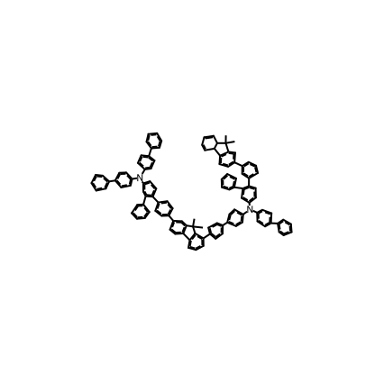 CC1(C)c2cc(-c3ccc(-c4ccc(N(c5ccc(-c6ccccc6)cc5)c5ccc(-c6ccccc6)cc5)cc4-c4ccccc4)cc3)ccc2-c2cccc(-c3ccc(-c4ccc(N(c5ccc(-c6ccccc6)cc5)c5ccc(-c6cccc(-c7ccc8c(c7)C(C)(C)C7C=CC=CC87)c6)c(-c6ccccc6)c5)cc4)cc3)c21